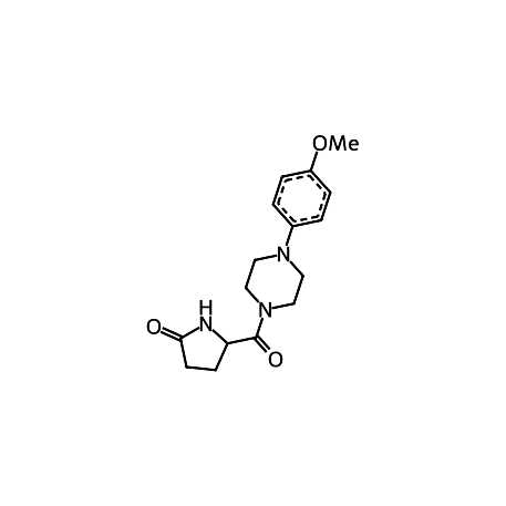 COc1ccc(N2CCN(C(=O)C3CCC(=O)N3)CC2)cc1